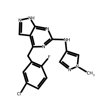 Cn1cc(Nc2nc(Cc3cc(Cl)ccc3F)c3cn[nH]c3n2)cn1